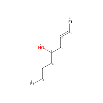 CCC=CCC(O)CC=CCC